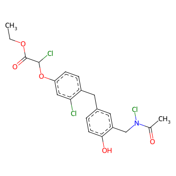 CCOC(=O)C(Cl)Oc1ccc(Cc2ccc(O)c(CN(Cl)C(C)=O)c2)c(Cl)c1